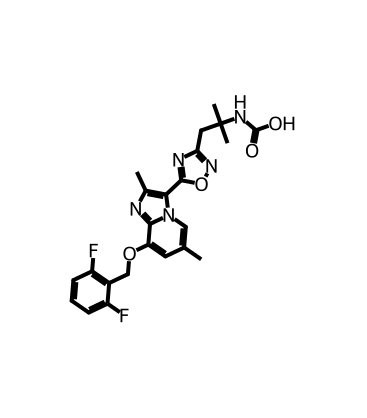 Cc1cc(OCc2c(F)cccc2F)c2nc(C)c(-c3nc(CC(C)(C)NC(=O)O)no3)n2c1